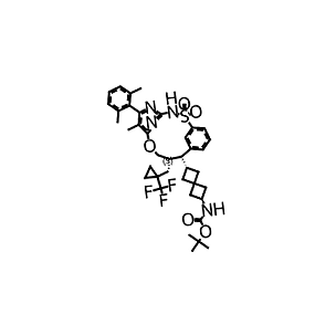 Cc1cccc(C)c1-c1nc2nc(c1C)OC[C@@H](CC1(C(F)(F)F)CC1)C([C@H]1CC3(C[C@H](NC(=O)OC(C)(C)C)C3)C1)c1cccc(c1)S(=O)(=O)N2